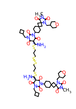 CN1C(=O)N(CC2CCOCC2)C2(CC3(CCC(N4C(=O)/C(=C(/N)SCCCSSCCCS/C(N)=C5\C(=O)N(CC6CCC6)C(=O)N(C6CCC7(CC6)CC6(C7)C(=O)N(C)C(=O)N6CC6CCOCC6)C5=O)C(=O)N(CC5CCC5)C4=O)CC3)C2)C1=O